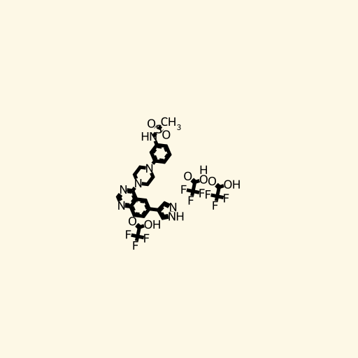 CS(=O)(=O)Nc1cccc(N2CCN(c3ncnc4ccc(-c5cn[nH]c5)cc34)CC2)c1.O=C(O)C(F)(F)F.O=C(O)C(F)(F)F.O=C(O)C(F)(F)F